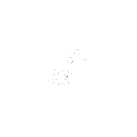 C[I+]c1cccc(C(C)C)c1-c1ccccc1.Fc1c(F)c(F)c([B-](c2c(F)c(F)c(F)c(F)c2F)(c2c(F)c(F)c(F)c(F)c2F)c2c(F)c(F)c(F)c(F)c2F)c(F)c1F